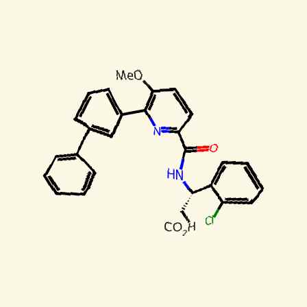 COc1ccc(C(=O)N[C@@H](CC(=O)O)c2ccccc2Cl)nc1-c1cccc(-c2ccccc2)c1